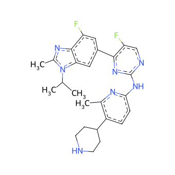 Cc1nc(Nc2ncc(F)c(-c3cc(F)c4nc(C)n(C(C)C)c4c3)n2)ccc1C1CCNCC1